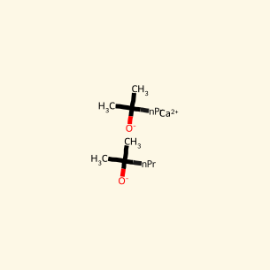 CCCC(C)(C)[O-].CCCC(C)(C)[O-].[Ca+2]